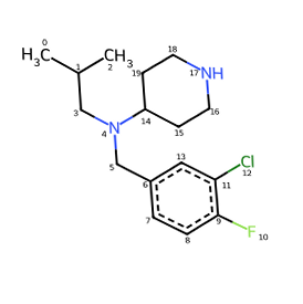 CC(C)CN(Cc1ccc(F)c(Cl)c1)C1CCNCC1